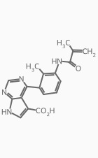 C=C(C)C(=O)Nc1cccc(-c2ncnc3[nH]cc(C(=O)O)c23)c1C